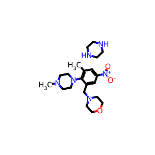 C1CNCCN1.Cc1cc([N+](=O)[O-])cc(CN2CCOCC2)c1N1CCN(C)CC1